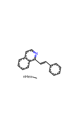 C(=Cc1nccc2ccccc12)c1ccccc1.CCCCCCC